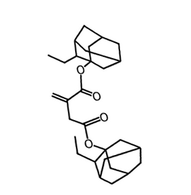 C=C(CC(=O)OC12CC3CC(CC(C3)C1CC)C2)C(=O)OC12CC3CC(CC(C3)C1CC)C2